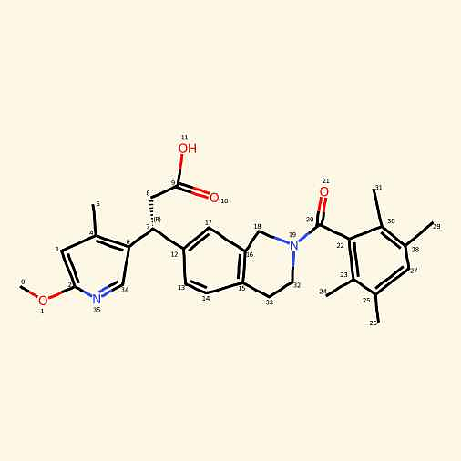 COc1cc(C)c([C@H](CC(=O)O)c2ccc3c(c2)CN(C(=O)c2c(C)c(C)cc(C)c2C)CC3)cn1